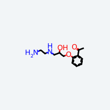 CC(=O)c1ccccc1OCC(O)CNCCN